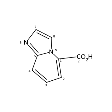 O=C(O)c1cccc2nccn12